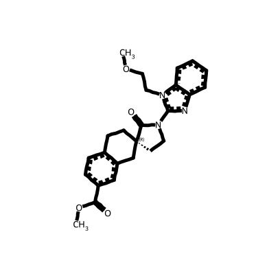 COCCn1c(N2CC[C@]3(CCc4ccc(C(=O)OC)cc4C3)C2=O)nc2ccccc21